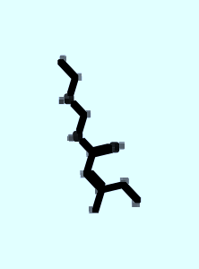 CCOCOC(=O)C=C(C)CC